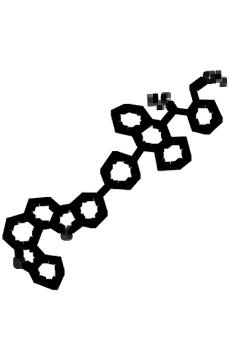 C=Cc1ccccc1C(=C)c1c2ccccc2c(-c2ccc(-c3ccc4oc5c(ccc6ccc7oc8ccccc8c7c65)c4c3)cc2)c2ccccc12